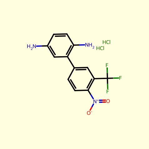 Cl.Cl.Nc1ccc(N)c(-c2ccc([N+](=O)[O-])c(C(F)(F)F)c2)c1